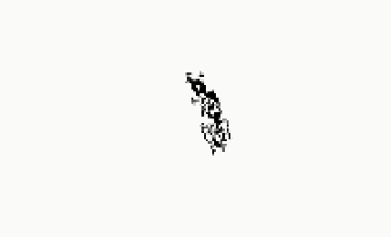 O=C(NNC(=O)C(F)F)c1cnc(NC2(c3ccc(F)c(F)c3)CC2)nc1